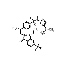 CCOc1cc(C(F)(F)F)ccc1C(=O)NC[C@@H](C)c1ccc(S(=O)(=O)Nc2nnc(C(C)C)s2)cc1